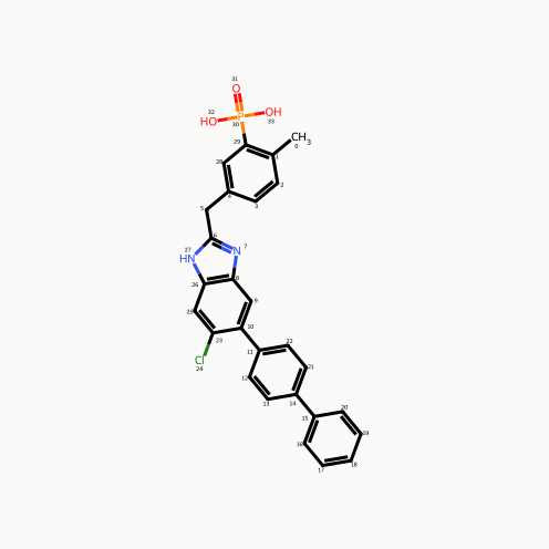 Cc1ccc(Cc2nc3cc(-c4ccc(-c5ccccc5)cc4)c(Cl)cc3[nH]2)cc1P(=O)(O)O